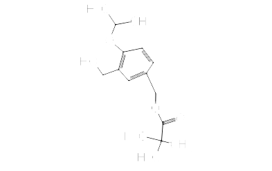 CC(C)Oc1ccc(COC(=O)C(C)(C)C)cc1CO